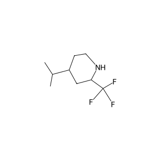 CC(C)C1CCNC(C(F)(F)F)C1